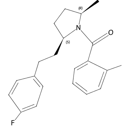 Cc1ccccc1C(=O)N1[C@@H](CCc2ccc(F)cc2)CC[C@H]1C